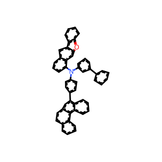 c1ccc(-c2cccc(N(c3ccc(-c4cc5ccc6ccccc6c5c5ccccc45)cc3)c3cccc4cc5c(cc34)oc3ccccc35)c2)cc1